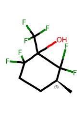 C[C@H]1CCC(F)(F)C(O)(C(F)(F)F)C1(F)F